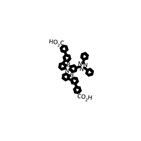 O=C(O)c1ccc(-c2ccc3c(c2)-c2cccc4c2B3c2cc(-c3nc(-c5ccccc5)nc(-c5ccccc5)n3)cc3c2N4c2cccc4c2B3c2ccc(-c3ccc(C(=O)O)cc3)cc2-4)cc1